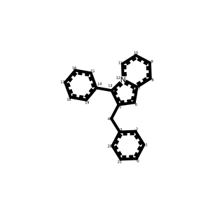 c1ccc(Cc2cc3ccccn3c2-c2ccccc2)cc1